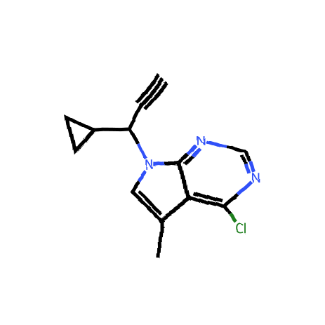 C#CC(C1CC1)n1cc(C)c2c(Cl)ncnc21